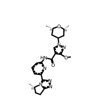 COc1nn(C2C[C@@H](C)O[C@@H](C)C2)cc1C(=O)Nc1cccc(-c2nnc3n2[C@@H](C)CC3)n1